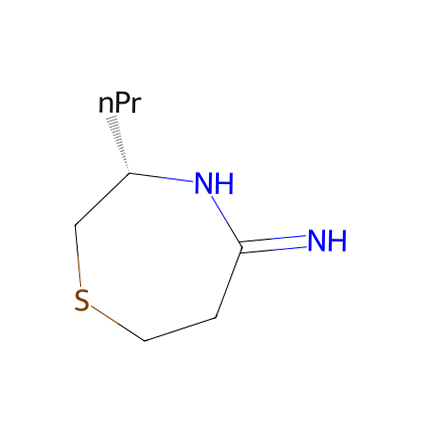 CCC[C@H]1CSCCC(=N)N1